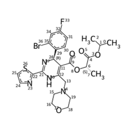 CC(C)OC(=O)[C@H](C)OC(=O)C1=C(CN2CCOCC2)NC(c2nccs2)=N[C@H]1c1ccc(F)cc1Br